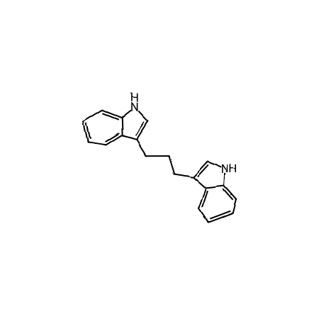 c1ccc2c(CCCc3c[nH]c4ccccc34)c[nH]c2c1